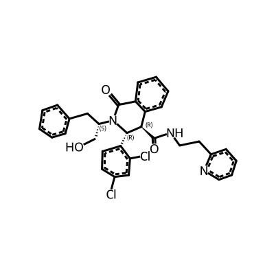 O=C(NCCc1ccccn1)[C@@H]1c2ccccc2C(=O)N([C@H](CO)Cc2ccccc2)[C@H]1c1ccc(Cl)cc1Cl